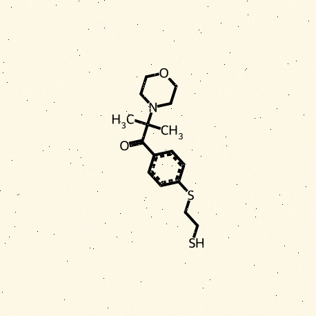 CC(C)(C(=O)c1ccc(SCCS)cc1)N1CCOCC1